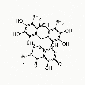 Bc1c(O)c(O)c(B)c(C(c2c(O)c(B)c(O)c(O)c2O)[C@H]2CN(C(C)C)C(=O)c3c(O)c(=O)cnn32)c1O